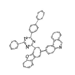 c1ccc(-c2ccc(-c3nc(-c4ccccc4)nc(-c4cc(-c5ccc6ncc7ccccc7c6c5)cc5c4oc4ccccc45)n3)cc2)cc1